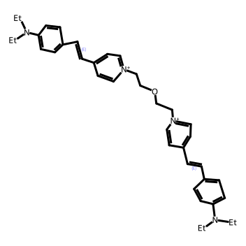 CCN(CC)c1ccc(/C=C/c2cc[n+](CCOCC[n+]3ccc(/C=C/c4ccc(N(CC)CC)cc4)cc3)cc2)cc1